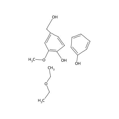 CCOCC.COc1cc(CO)ccc1O.Oc1ccccc1